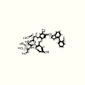 N#Cc1cncc(COc2cc(O[C@H]3CCc4c(-c5ccccc5F)cccc43)c(Cl)cc2CN[C@@H](CO)C(=O)N[C@@H](CO)C(=O)N[C@@H](CO)C(=O)O)c1